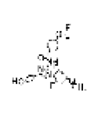 COc1cc(F)c(-n2cc(C3CC(O)C3)nc2NC(=O)c2ccc(OC(F)F)cc2)c(F)c1